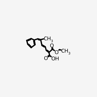 CCOC(=O)C(=CC=CC(C)=Cc1ccccc1)C(=O)O